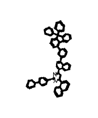 c1ccc(-c2ccc(-c3nc(-c4cccc5ccccc45)cc(-c4ccc(-c5cccc(-c6cccc7c6-c6ccccc6C7(c6ccccc6)c6ccccc6)c5)c5ccccc45)n3)cc2)cc1